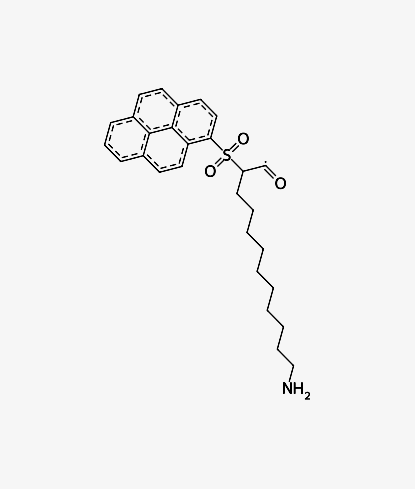 NCCCCCCCCCCC([C]=O)S(=O)(=O)c1ccc2ccc3cccc4ccc1c2c34